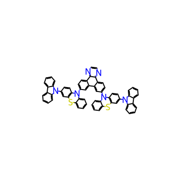 c1ccc2c(c1)Sc1cc(-n3c4ccccc4c4ccccc43)ccc1N2c1ccc2c(c1)c1cc(N3c4ccccc4Sc4cc(-n5c6ccccc6c6ccccc65)ccc43)ccc1c1nccnc21